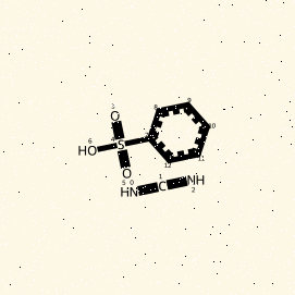 N=C=N.O=S(=O)(O)c1ccccc1